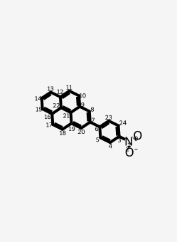 O=[N+]([O-])c1ccc(-c2cc3ccc4cccc5ccc(c2)c3c45)cc1